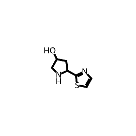 OC1CNC(c2nccs2)C1